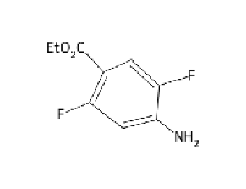 CCOC(=O)c1cc(F)c(N)cc1F